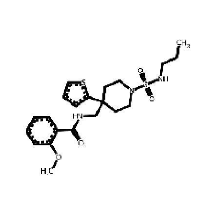 CCCNS(=O)(=O)N1CCC(CNC(=O)c2ccccc2OC)(c2cccs2)CC1